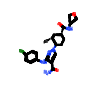 N#C[C@@H]1C[C@H](C(=O)NC2COC2)CC[C@H]1n1cc(C(N)=O)c(Nc2ccc(Cl)cc2)n1